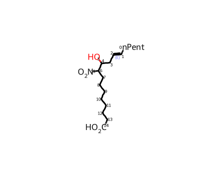 CCCCC/C=C/CC(O)C(CCCCCCCC(=O)O)[N+](=O)[O-]